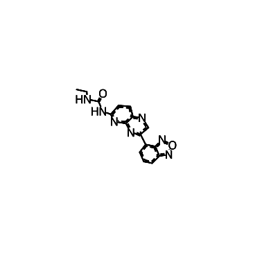 CCNC(=O)Nc1ccc2ncc(-c3cccc4nonc34)nc2n1